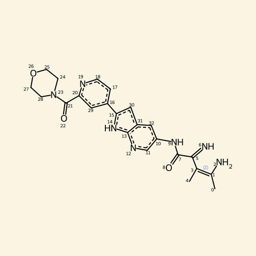 C/C(N)=C(\C)C(=N)C(=O)Nc1cnc2[nH]c(-c3ccnc(C(=O)N4CCOCC4)c3)cc2c1